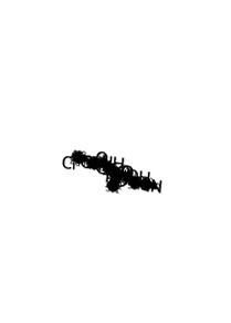 N#Cc1ccc(-c2ccc(C[C@H](NC(=O)[C@@H]3Cc4cc5c(cc4CN3C(=O)c3ccccc3)OC(c3ccc(OCc4cccc(Cl)c4)cc3)C(=O)N5)C(=O)O)cc2)cc1